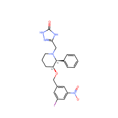 O=c1[nH]nc(CN2CCC[C@H](OCc3cc(I)cc([N+](=O)[O-])c3)[C@@H]2c2ccccc2)[nH]1